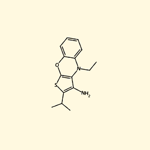 CCN1c2ccccc2Oc2sc(C(C)C)c(N)c21